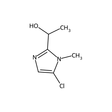 CC(O)c1ncc(Cl)n1C